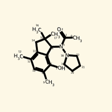 CC(=O)N(C1c2c(O)c(C)cc(C)c2CC1(C)C)N1CCCC1